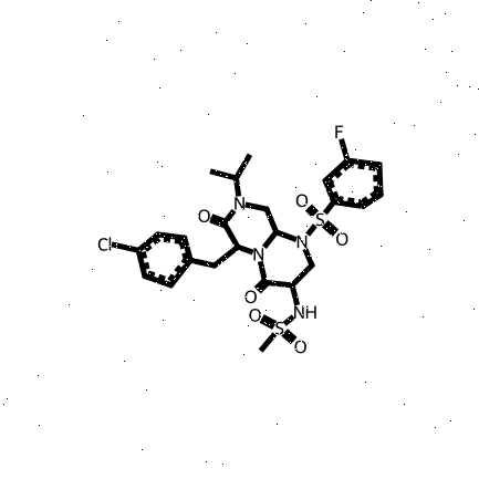 CC(C)N1CC2N(C(=O)C(NS(C)(=O)=O)CN2S(=O)(=O)c2cccc(F)c2)C(Cc2ccc(Cl)cc2)C1=O